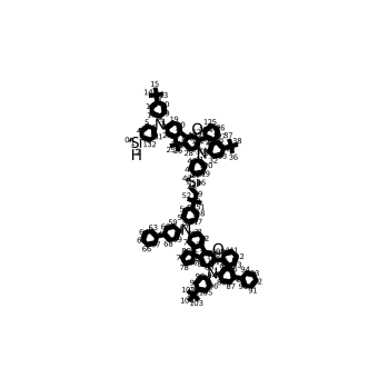 C[SiH](C)c1ccc(N(c2ccc(C(C)(C)C)cc2)c2ccc3c(c2)C(C)(C)c2cc(N(c4ccc(C(C)(C)C)cc4)c4ccc([Si](C)(C)CCC(C)(C)c5ccc(N(c6ccc(-c7ccccc7)cc6)c6ccc7c(c6)C6(C=CC=C6)c6cc(N(c8ccc(-c9ccccc9)cc8)c8ccc(C(C)(C)C)cc8)c8c(oc9ccccc98)c6-7)cc5)cc4)c4c(oc5ccccc54)c2-3)cc1